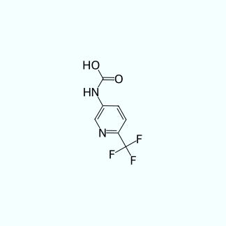 O=C(O)Nc1ccc(C(F)(F)F)nc1